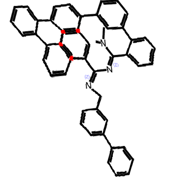 CN(C)/C(=N\C(=N/Cc1cccc(-c2ccccc2)c1)c1ccccc1)c1ccccc1-c1cccc(-c2ccc3c4ccccc4c4ccccc4c3c2)c1